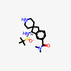 CN(C)C(=O)c1ccc2c(c1)[C@@H](N[S+]([O-])C(C)(C)C)C1(CCNCC1)C2